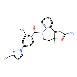 Cc1ccn(-c2ccc(C(=O)N3CCC(F)(F)C(=CC(N)=O)c4ccccc43)c(C)c2)n1